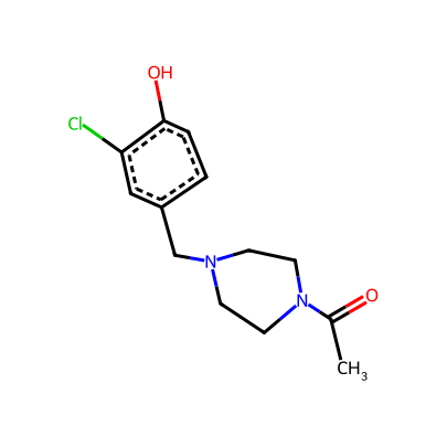 CC(=O)N1CCN(Cc2ccc(O)c(Cl)c2)CC1